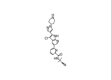 CC(C)(C#N)NC(=O)c1cccc(-c2cnc3[nH]c(-c4cnn(C5CCNCC5)c4)c(Cl)c3c2)n1